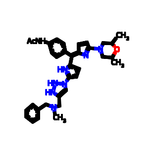 CC(=O)Nc1ccc(/C(=C2\C=CC(N3CC(C)OC(C)C3)=N2)c2ccc(N3C=C(CN(C)Cc4ccccc4)NN3)[nH]2)cc1